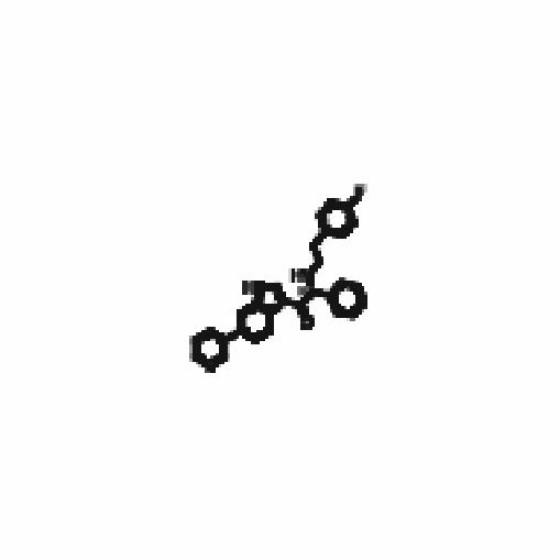 O=C(c1c[nH]c2cc(-c3cccnc3)ccc12)[C@H](NCCc1ccc(F)cc1)c1ccccc1